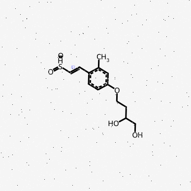 Cc1cc(OCCC(O)CO)ccc1/C=C/[SH](=O)=O